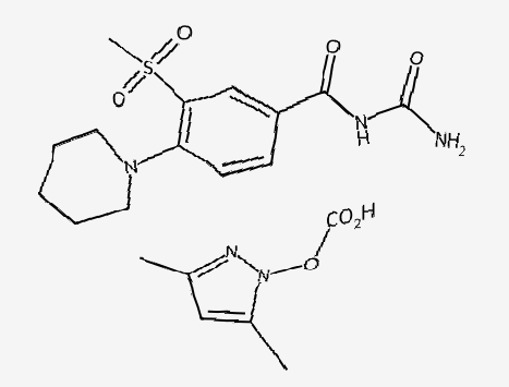 CS(=O)(=O)c1cc(C(=O)NC(N)=O)ccc1N1CCCCC1.Cc1cc(C)n(OC(=O)O)n1